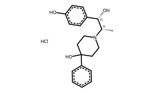 C[C@@H]([C@@H](O)c1ccc(O)cc1)N1CCC(O)(c2ccccc2)CC1.Cl